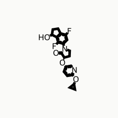 O=C1[C@H](Oc2ccc(OC3CC3)nc2)CCN1c1cc(F)c2c(c1F)C(O)CC2